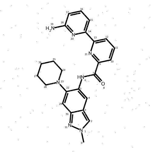 Cn1cc2cc(NC(=O)c3cccc(-c4cccc(N)n4)n3)c(N3CCCCC3)cc2n1